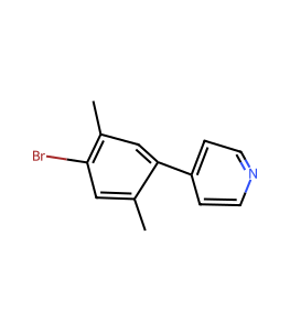 Cc1cc(-c2ccncc2)c(C)cc1Br